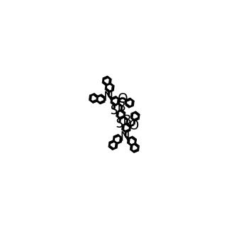 c1ccc2c(c1)Oc1cc(N(c3ccc4ccccc4c3)c3ccc4ccccc4c3)cc3c1B2c1cc2c(cc1S3)Sc1cc(N(c3ccc4ccccc4c3)c3ccc4ccccc4c3)cc3c1B2c1ccccc1O3